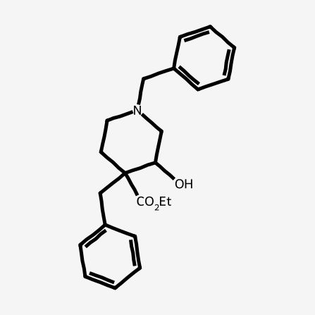 CCOC(=O)C1(Cc2ccccc2)CCN(Cc2ccccc2)CC1O